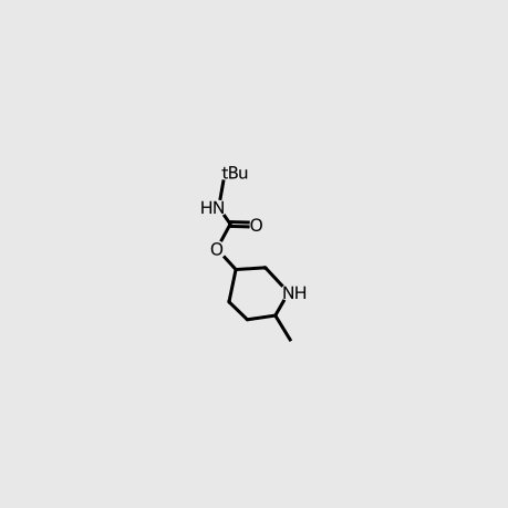 CC1CCC(OC(=O)NC(C)(C)C)CN1